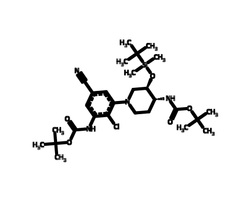 CC(C)(C)OC(=O)Nc1cc(C#N)cc(N2CC[C@@H](NC(=O)OC(C)(C)C)[C@H](O[Si](C)(C)C(C)(C)C)C2)c1Cl